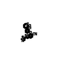 CCC1(c2cccc(Oc3cc(CC(N)c4cncn4C)ccc3C#N)c2)CCCCN(C)C1=O